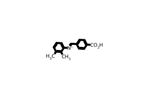 Cc1cccc(/N=C/c2ccc(C(=O)O)cc2)c1C